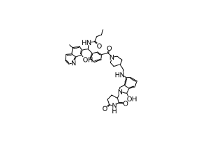 CCCC(=O)NC(c1cccc(C(=O)N2CCC(CNc3cccc4c3CN(C3CCC(=O)NC3=O)C4O)CC2)c1)c1cc(C)c2cccnc2c1O